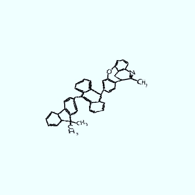 CC1=Nc2cccc3c2CC1c1ccc(-c2c4ccccc4c(-c4ccc5c(c4)C(C)(C)C4C=CC=CC54)c4ccccc24)cc1O3